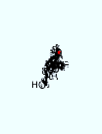 CC(C)(O)CCNC(=O)N1CC[C@@]2(S(=O)(=O)c3ccc(F)cc3)c3ccc(C(F)(C(F)(F)F)C(F)(F)F)cc3CC[C@@H]12